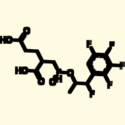 CC(O[PH](=O)CC(CCC(=O)O)C(=O)O)C(F)c1cc(F)c(F)c(F)c1F